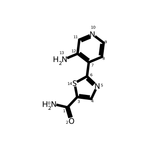 NC(=O)c1cnc(-c2ccncc2N)s1